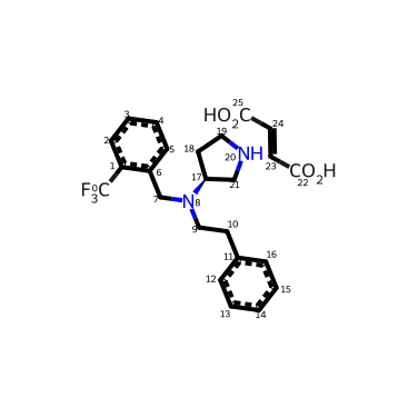 FC(F)(F)c1ccccc1CN(CCc1ccccc1)[C@H]1CCNC1.O=C(O)C=CC(=O)O